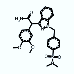 COc1ccc(C(C(N)=O)c2nn(Cc3ccc(S(=O)(=O)N(C)C)cc3)c3ccccc23)cc1OC